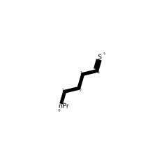 CCCCCCC=S